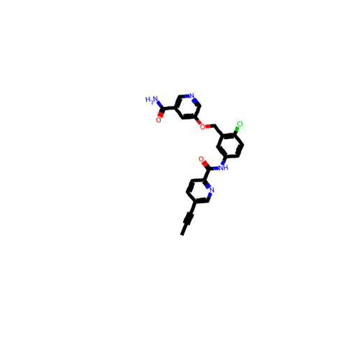 CC#Cc1ccc(C(=O)Nc2ccc(Cl)c(COc3cncc(C(N)=O)c3)c2)nc1